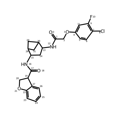 O=C(COc1ccc(Cl)c(F)c1)NC1CC(NC(=O)C2COc3ccccc32)C2CC1C2